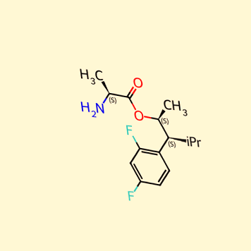 CC(C)[C@@H](c1ccc(F)cc1F)[C@H](C)OC(=O)[C@H](C)N